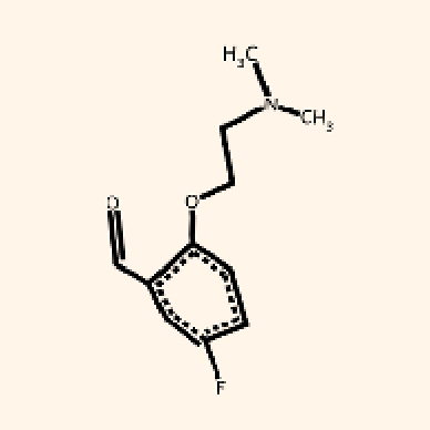 CN(C)CCOc1ccc(F)cc1C=O